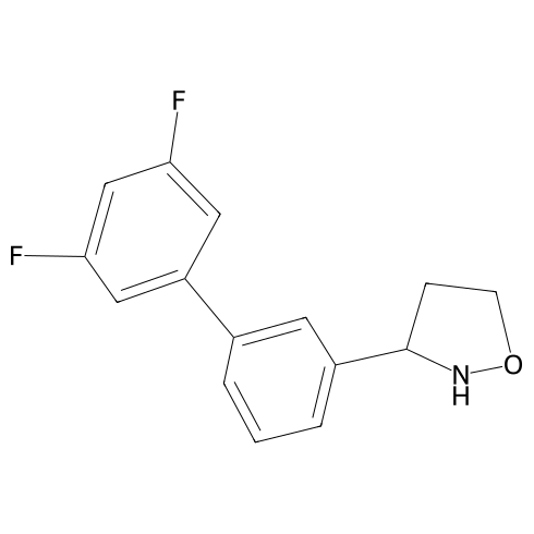 Fc1cc(F)cc(-c2cccc(C3CCON3)c2)c1